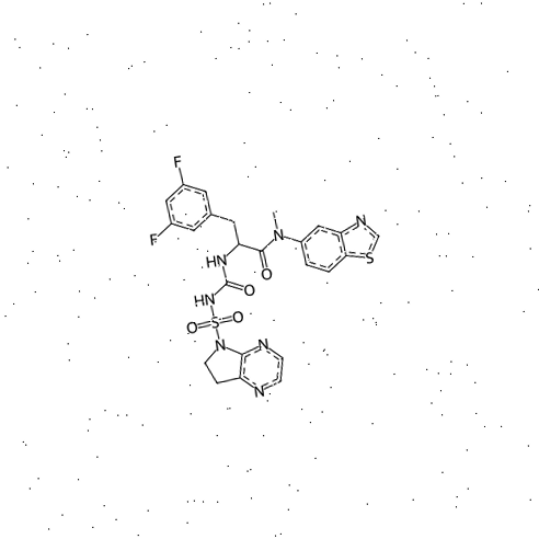 CN(C(=O)C(Cc1cc(F)cc(F)c1)NC(=O)NS(=O)(=O)N1CCc2nccnc21)c1ccc2scnc2c1